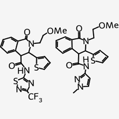 COCCN1C(=O)c2ccccc2C(C(=O)Nc2ccn(C)n2)C1c1cccs1.COCCN1C(=O)c2ccccc2C(C(=O)Nc2nc(C(F)(F)F)ns2)C1c1cccs1